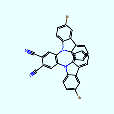 N#Cc1cc(-n2c3ccccc3c3cc(Br)ccc32)c(-n2c3ccccc3c3cc(Br)ccc32)cc1C#N